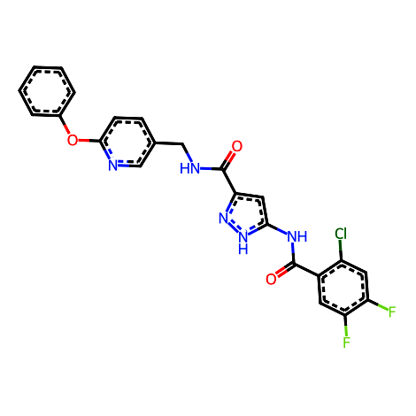 O=C(NCc1ccc(Oc2ccccc2)nc1)c1cc(NC(=O)c2cc(F)c(F)cc2Cl)[nH]n1